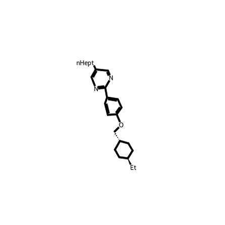 CCCCCCCc1cnc(-c2ccc(OC[C@H]3CC[C@H](CC)CC3)cc2)nc1